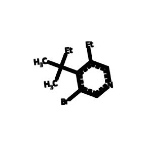 CCc1cncc(Br)c1C(C)(C)CC